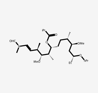 CCCO[C@H](CC)C[C@H](OC)[C@@H](C)CC[C@@H](OC(=O)C(C)C)[C@H](C)[C@H](OC)[C@H](C)/C=C/N(C)C=O